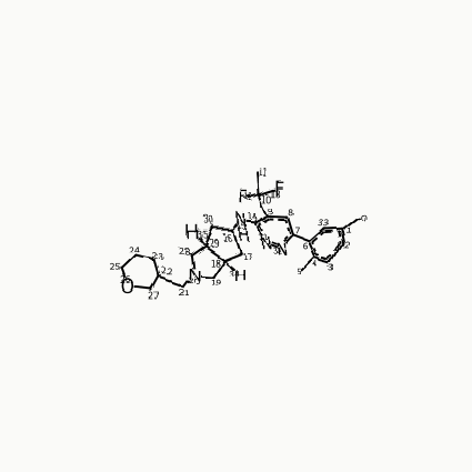 Cc1ccc(C)c(-c2cc(C(C)(F)F)c(N[C@H]3C[C@@H]4CN(CC5CCCOC5)C[C@@H]4C3)nn2)c1